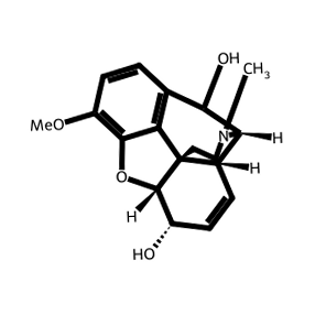 COc1ccc2c3c1O[C@H]1[C@@H](O)C=C[C@H]4[C@@H](C2O)N(C)CC[C@@]341